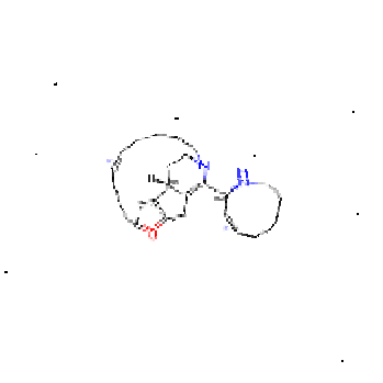 C1=C\[C@@H](C2=C3Cc4oc5cc4[C@@H]3CCN2CCCC/C=C\CC5)NCCCC/1